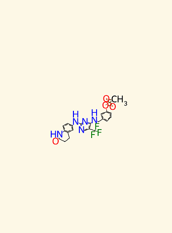 CS(=O)(=O)Oc1cccc(CNc2nc(Nc3ccc4c(c3)CCC(=O)N4)ncc2C(F)(F)F)c1